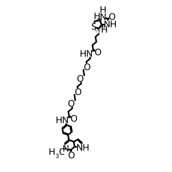 CN1C=C(c2ccc(NC(=O)CCOCCOCCOCCOCCNC(=O)CCCC[C@@H]3SC[C@@H]4NC(=O)N[C@@H]43)cc2)C2C=CNC2C1=O